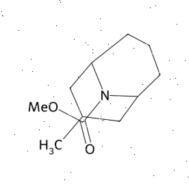 COC(=O)N1C2CCCC1CC(C)C2